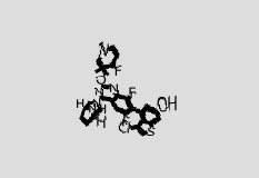 CN1CCC(F)C(C)(COc2nc(N3C[C@H]4CC[C@@H](C3)N4)c3cc(F)c(-c4cc(O)cc5scc(Cl)c45)c(F)c3n2)C1